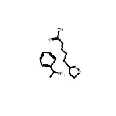 CC(N)c1ccccc1.O=C(O)CCCCC1CCSS1